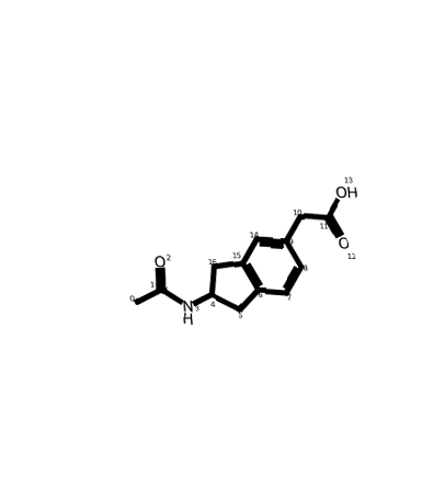 CC(=O)NC1Cc2ccc(CC(=O)O)cc2C1